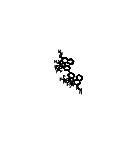 [H]/N=N/C1=Cc2ccccc2C(c2ccc(-c3ccc(C4(S(=O)(=O)O)c5ccccc5C=C(/N=N/[H])C4N)c(OC(F)(F)F)c3)cc2OC(F)(F)F)(S(=O)(=O)O)C1N